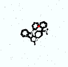 CC1Cc2c(n(-c3ccccc3)c3ccccc23)C2(CCC(c3ccccc3)(N(C)C)CC2)O1